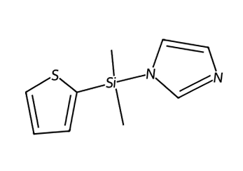 C[Si](C)(c1cccs1)n1ccnc1